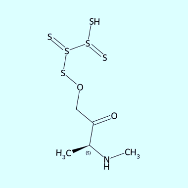 CN[C@@H](C)C(=O)COSS(=S)S(=S)S